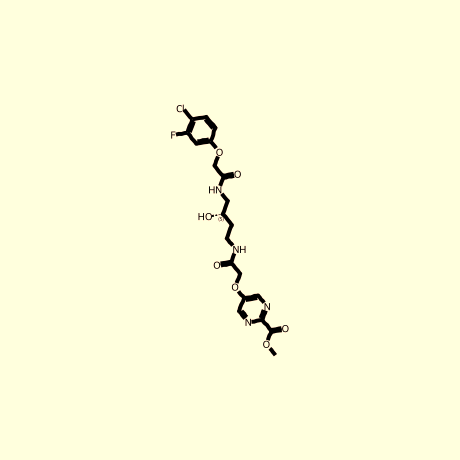 COC(=O)c1ncc(OCC(=O)NCC[C@H](O)CNC(=O)COc2ccc(Cl)c(F)c2)cn1